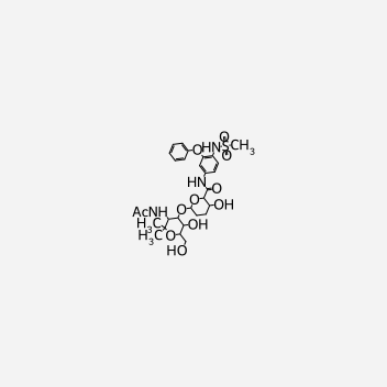 CC(=O)NC1C(OC2CCC(O)C(C(=O)Nc3ccc(NS(C)(=O)=O)c(Oc4ccccc4)c3)O2)C(O)C(CO)OC1(C)C